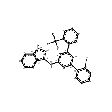 FC(F)(F)c1ccccc1-c1nc(Nc2n[nH]c3ccccc23)cc(-c2ccccc2I)n1